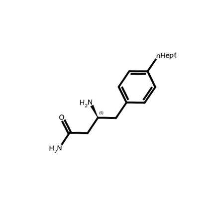 CCCCCCCc1ccc(C[C@H](N)CC(N)=O)cc1